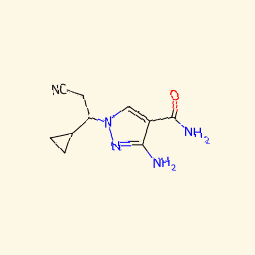 N#CCC(C1CC1)n1cc(C(N)=O)c(N)n1